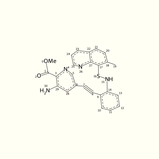 COC(=O)c1ncc(C#Cc2ccccc2NSc2c(C)ccc3cccnc23)cc1N